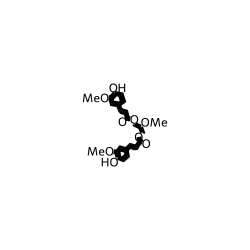 COc1cc(C=CC(=O)OCC(COC(=O)C=Cc2ccc(O)c(OC)c2)OC)ccc1O